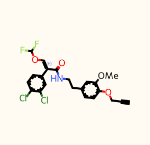 C#CCOc1ccc(CCNC(=O)/C(=C/OC(F)F)c2ccc(Cl)c(Cl)c2)cc1OC